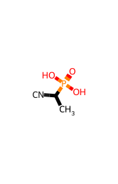 [C-]#[N+]C(C)P(=O)(O)O